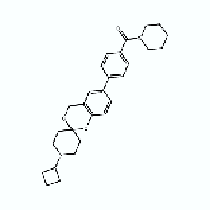 O=C(c1ccc(-c2ccc3c(c2)COC2(CCN(C4CCC4)CC2)O3)cc1)N1CCCCC1